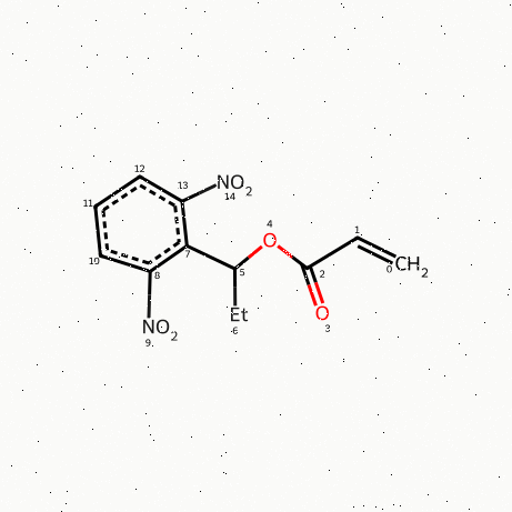 C=CC(=O)OC(CC)c1c([N+](=O)[O-])cccc1[N+](=O)[O-]